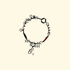 C=C1Nc2ccc(cc2)OCCCOc2ccc(cc2)CNc2nc(nc(OCC(F)(F)F)n2)Nc2ccc(cc2)C(=O)CCC(C)(C)CNC1=O